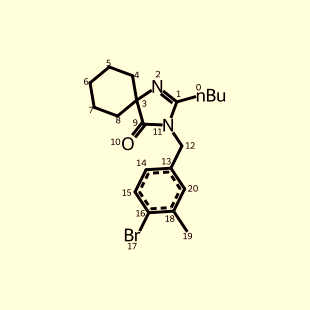 CCCCC1=NC2(CCCCC2)C(=O)N1Cc1ccc(Br)c(C)c1